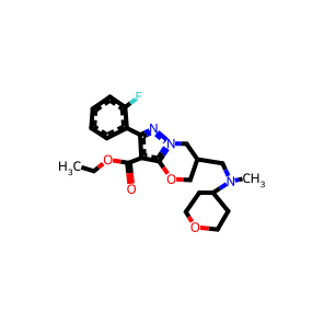 CCOC(=O)c1c(-c2ccccc2F)nn2c1OCC(CN(C)C1CCOCC1)C2